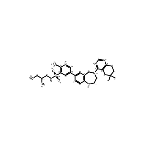 CC1(C)CCc2ncnc(N3CCOc4ccc(-c5cnc(N)c(S(=O)(=O)NCC(O)CO)c5)cc4C3)c2C1